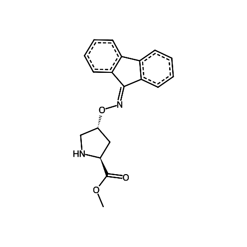 COC(=O)[C@@H]1C[C@@H](ON=C2c3ccccc3-c3ccccc32)CN1